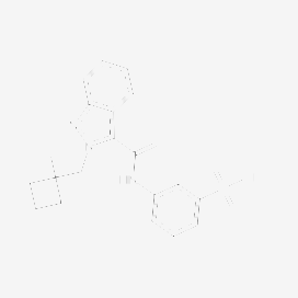 CS(=O)(=O)c1cccc(NC(=O)c2c3ccccc3nn2CC2(C(F)(F)F)CCC2)c1